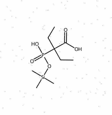 CCC(CC)(C(=O)O)P(=O)(O)O[Si](C)(C)C